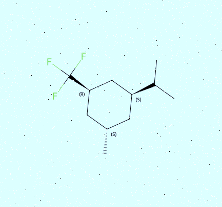 CC(C)[C@H]1C[C@H](C)C[C@@H](C(F)(F)F)C1